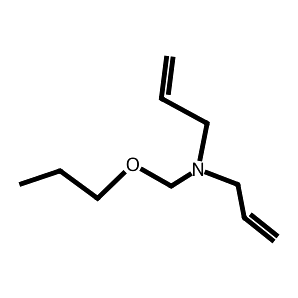 C=CCN(CC=C)COCCC